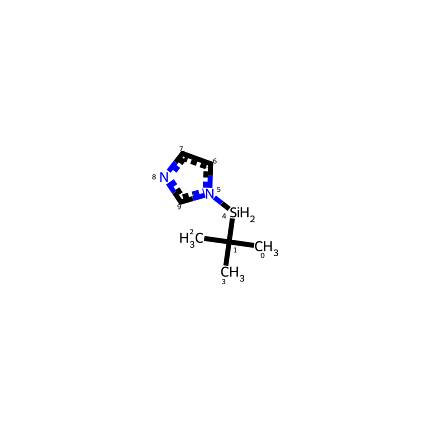 CC(C)(C)[SiH2]n1ccnc1